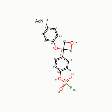 CC(=O)Nc1ccc(OC2(c3ccc(OS(=O)(=O)F)cc3)COC2)cc1